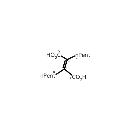 CCCCCC(C(=O)O)=C(CCCCC)C(=O)O